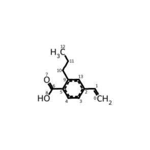 C=Cc1ccc(C(=O)O)c(CCC)c1